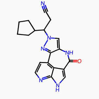 N#CCC(C1CCCC1)n1cc2c(n1)-c1ccnc3[nH]cc(c13)C(=O)N2